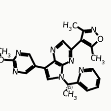 COc1ncc(-c2cn([C@@H](C)c3ccccn3)c3nc(-c4c(C)noc4C)cnc23)cn1